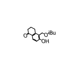 CCC(C)OCc1c(O)ccc2c1CCCC2=O